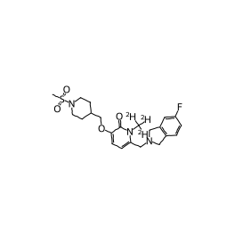 [2H]C([2H])([2H])n1c(CN2Cc3ccc(F)cc3C2)ccc(OCC2CCN(S(C)(=O)=O)CC2)c1=O